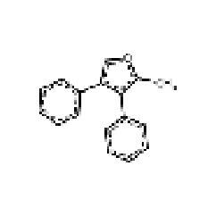 Cc1occ(-c2ccccc2)c1-c1ccccc1